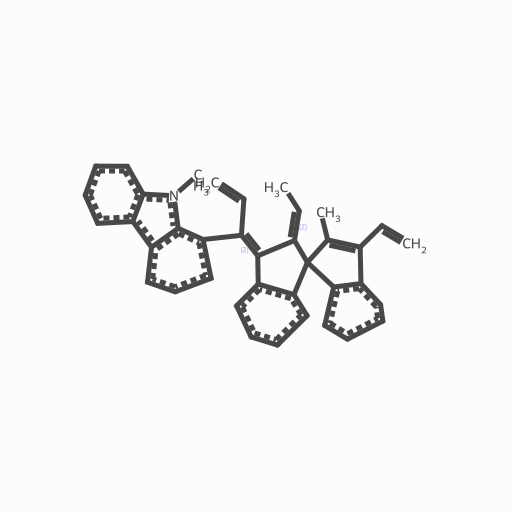 C=CC1=C(C)C2(C(=C/C)/C(=C(\C=C)c3cccc4c5ccccc5n(C)c34)c3ccccc32)c2ccccc21